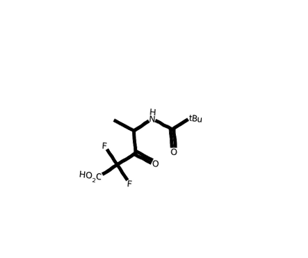 CC(NC(=O)C(C)(C)C)C(=O)C(F)(F)C(=O)O